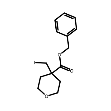 O=C(OCc1ccccc1)C1(CI)CCOCC1